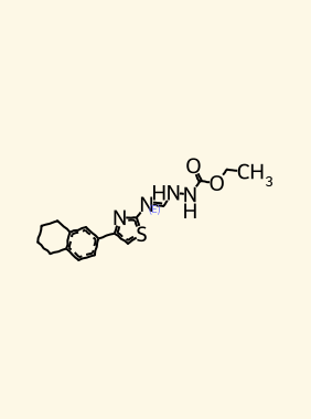 CCOC(=O)NN/C=N/c1nc(-c2ccc3c(c2)CCCC3)cs1